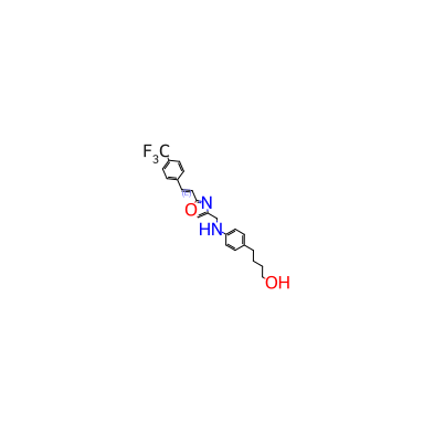 OCCCCc1ccc(NCc2coc(/C=C/c3ccc(C(F)(F)F)cc3)n2)cc1